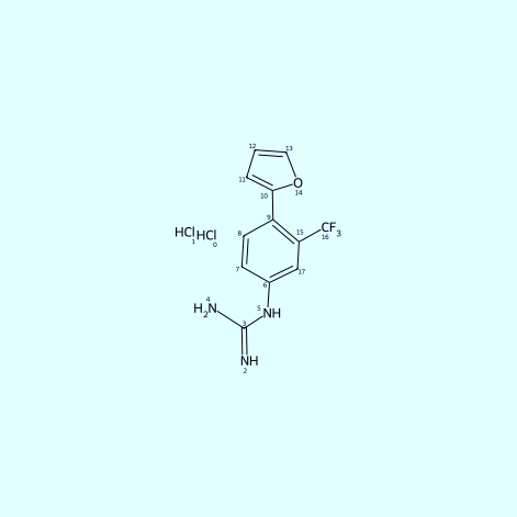 Cl.Cl.N=C(N)Nc1ccc(-c2ccco2)c(C(F)(F)F)c1